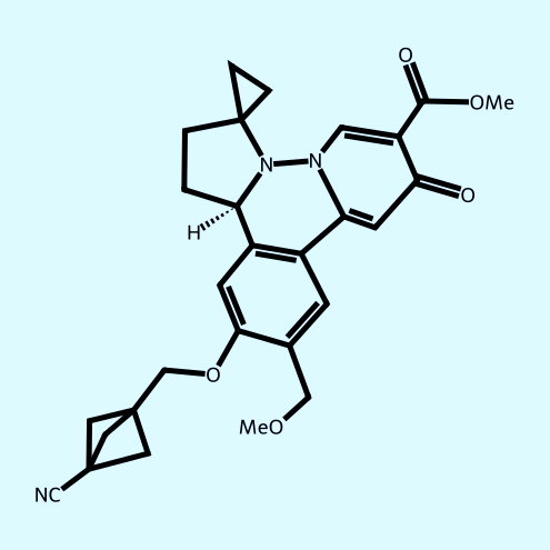 COCc1cc2c(cc1OCC13CC(C#N)(C1)C3)[C@H]1CCC3(CC3)N1n1cc(C(=O)OC)c(=O)cc1-2